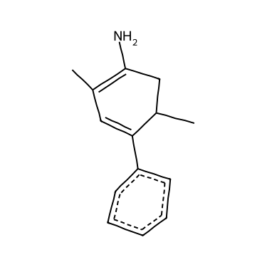 CC1=C(N)CC(C)C(c2ccccc2)=C1